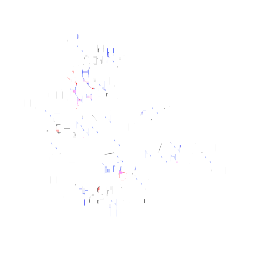 CC1(C)CC(OC2=NN(OC3CC(C)(C)NC(C)(C)C3)NC(N(CCCN(C3=CC(OC4CC(C)(C)NC(C)(C)C4)=NN(OC4CC(C)(C)NC(C)(C)C4)N3)C3CC(C)(C)NC(C)(C)C3)CCN(CCCN(C3=CC(OC4CC(C)(C)NC(C)(C)C4)=NN(OC4CC(C)(C)NC(C)(C)C4)N3)C3CC(C)(C)NC(C)(C)C3)C3=CC(OC4CC(C)(C)NC(C)(C)C4)=NN(OC4CC(C)(C)NC(C)(C)C4)N3)=C2)CC(C)(C)N1